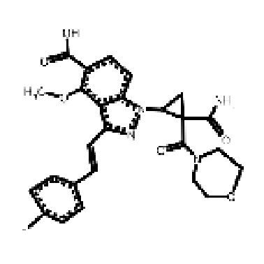 COc1c(C(=O)O)ccc2c1c(C=Cc1ccc(F)cc1)nn2C1CC1(C(N)=O)C(=O)N1CCOCC1